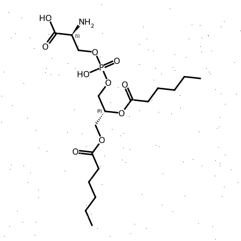 CCCCCC(=O)OC[C@H](COP(=O)(O)OC[C@H](N)C(=O)O)OC(=O)CCCCC